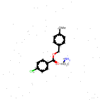 COc1ccc(COC(=O)c2ccc(Cl)cc2)cc1.NC(=O)O